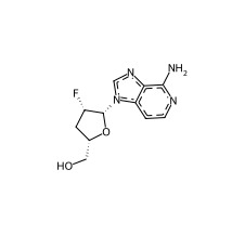 Nc1nccc2c1ncn2[C@@H]1O[C@H](CO)C[C@@H]1F